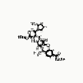 CNC(=O)c1ccc([C@@H](C)N2C(=O)[C@@H]3C[C@H]2CN3C[C@H](NC(=O)OC(C)(C)C)C(=O)N2CCC[C@H]2C#N)cc1